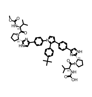 COC(=O)N[C@H](C(=O)N1CCC[C@H]1c1nc(-c2ccc(-n3ccc(-c4ccc(-c5c[nH]c([C@@H]6CCCN6C(=O)[C@@H](NC(=O)O)C(C)C)n5)cc4)c3-c3ccc(C(C)(C)C)cc3)cc2)c[nH]1)C(C)C